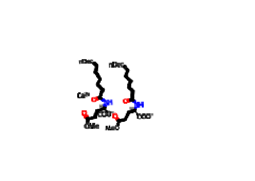 CCCCCCCCCCCCCCCC(=O)N[C@@H](CCC(=O)OC)C(=O)[O-].CCCCCCCCCCCCCCCC(=O)N[C@@H](CCC(=O)OC)C(=O)[O-].[Ca+2]